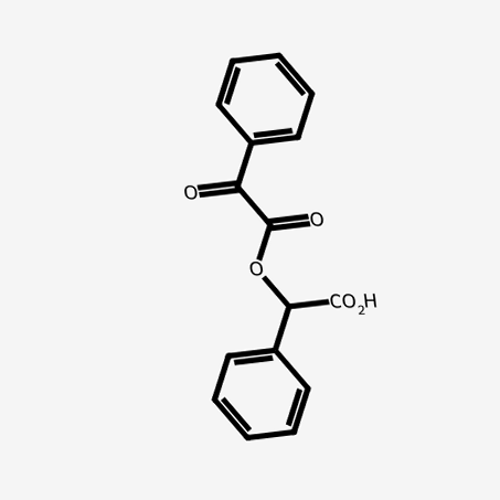 O=C(OC(C(=O)O)c1ccccc1)C(=O)c1ccccc1